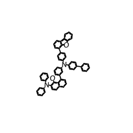 c1ccc(-c2ccc(N(c3ccc(-c4cccc5c4oc4ccccc45)cc3)c3ccc4c(c3)-c3cccc5ccc(N(c6ccccc6)c6ccccc6)c(c35)O4)cc2)cc1